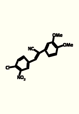 COc1ccc(/C(C#N)=C/c2ccc(Cl)c([N+](=O)[O-])c2)cc1OC